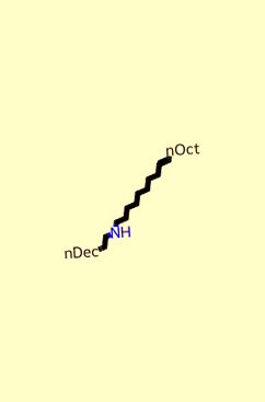 CCCCCCCCC=CCCCCCCCCNCCCCCCCCCCCC